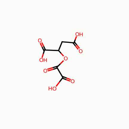 O=C(O)CC(OC(=O)C(=O)O)C(=O)O